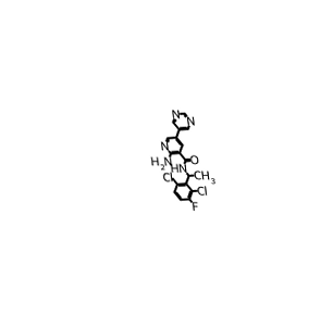 CC(NC(=O)c1cc(-c2cncnc2)cnc1N)c1c(Cl)ccc(F)c1Cl